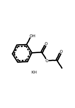 CC(=O)OC(=O)c1ccccc1O.[KH]